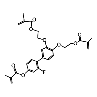 C=C(C)C(=O)OCCOc1ccc(-c2ccc(OC(=O)C(=C)C)cc2F)cc1OCCOC(=O)C(=C)C